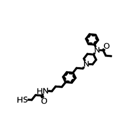 CCC(=O)N(c1ccccc1)C1CCN(CCc2ccc(CCCNC(=O)CCS)cc2)CC1